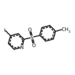 Cc1ccc(S(=O)(=O)c2cc(I)ccn2)cc1